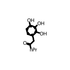 CCCC(=O)Cc1ccc(O)c(O)c1O